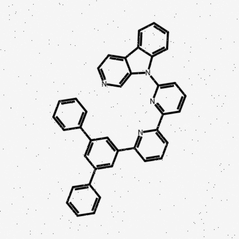 c1ccc(-c2cc(-c3ccccc3)cc(-c3cccc(-c4cccc(-n5c6ccccc6c6ccncc65)n4)n3)c2)cc1